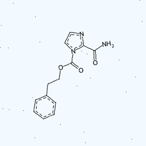 NC(=O)c1nccn1C(=O)OCCc1ccccc1